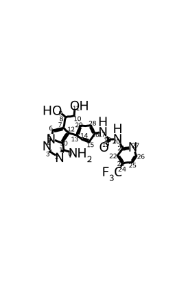 Nc1ncnn2cc(C(O)CO)c(-c3ccc(NC(=O)Nc4cc(C(F)(F)F)ccn4)cc3)c12